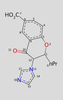 CCCC1Oc2ccc(C(=O)O)cc2C(=O)C1n1ccnc1